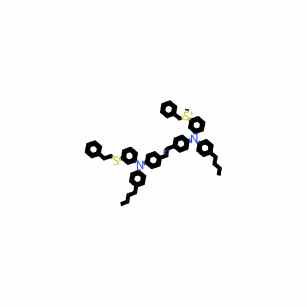 CCCCc1ccc(N(c2ccc(/C=C/c3ccc(N(c4ccc(CCCC)cc4)c4cccc([S+](C)Cc5ccccc5)c4)cc3)cc2)c2cccc(SCCc3ccccc3)c2)cc1